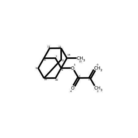 C=C(C)C(=O)OC12CC3CC(CC(C3)C1C)C2